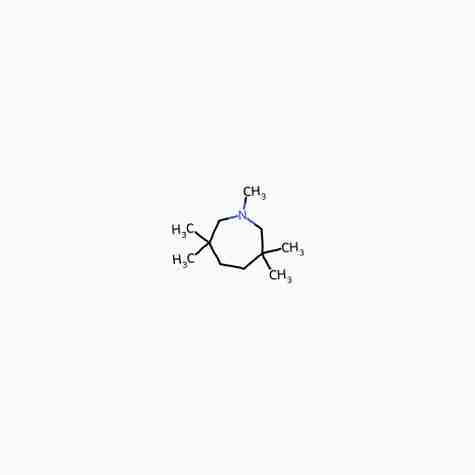 CN1CC(C)(C)CCC(C)(C)C1